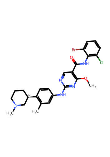 COc1nc(Nc2ccc([C@@H]3CCCN(C)C3)c(C)c2)ncc1C(=O)Nc1c(Cl)cccc1Br